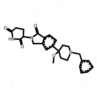 COC1(c2ccc3c(c2)CN(C2CCC(=O)NC2=O)C3=O)CCN(Cc2ccccc2)CC1